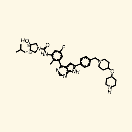 Cc1c(NC(=O)N2C[C@H](CC(C)C)[C@@H](O)C2)cc(F)cc1-c1ncnc2[nH]c(-c3ccc(CN4CCC(OC5CCNCC5)CC4)cc3)cc12